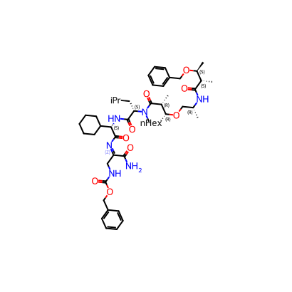 CCCCCC[C@@H](OC[C@@H](C)NC(=O)[C@@H](C)[C@H](C)OCc1ccccc1)[C@@H](C)C(=O)N(C)[C@@H](CC(C)C)C(=O)N[C@H](C(=O)/N=C(/CNC(=O)OCc1ccccc1)C(N)=O)C1CCCCC1